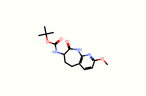 COc1ccc2c(n1)NC(=O)C(NC(=O)OC(C)(C)C)CC2